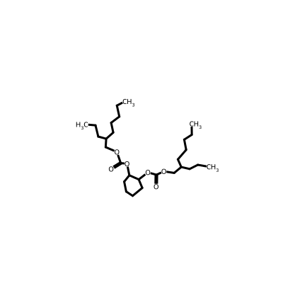 CCCCCC(CCC)COC(=O)OC1CCCCC1OC(=O)OCC(CCC)CCCCC